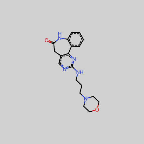 O=C1Cc2cnc(NCCCN3CCOCC3)nc2-c2ccccc2N1